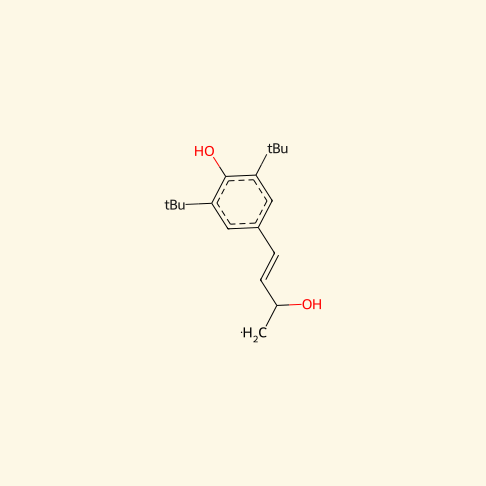 [CH2]C(O)C=Cc1cc(C(C)(C)C)c(O)c(C(C)(C)C)c1